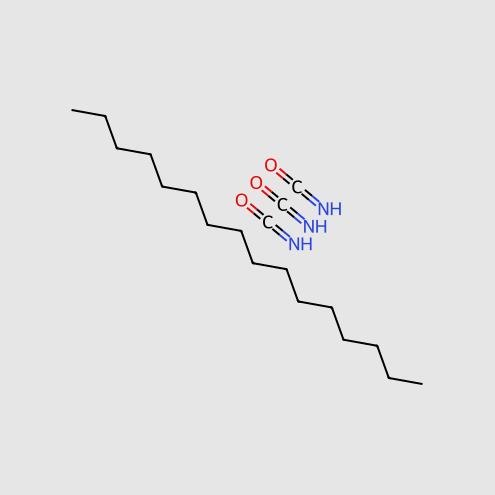 CCCCCCCCCCCCCCCC.N=C=O.N=C=O.N=C=O